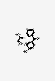 C=CC(=O)O.O=C(c1ccccc1)c1ccc(O)cc1